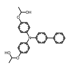 CC(O)Oc1ccc(N(c2ccc(OC(C)O)cc2)c2ccc(-c3ccccc3)cc2)cc1